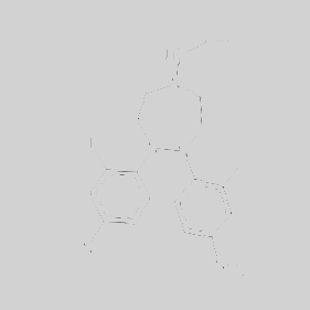 O=CBN1CCN(c2ccc([N+](=O)[O-])cc2F)N(c2ccc([N+](=O)[O-])cc2F)CC1